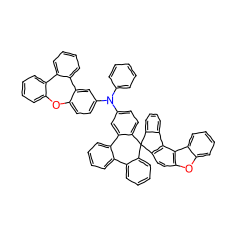 c1ccc(N(c2ccc3c(c2)-c2ccccc2-c2ccccc2O3)c2ccc3c(c2)-c2ccccc2-c2ccccc2C32c3ccccc3-c3c2ccc2oc4ccccc4c32)cc1